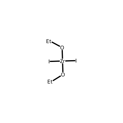 CC[O][Zr]([I])([I])[O]CC